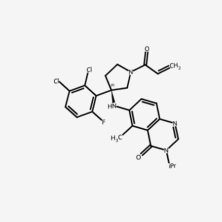 C=CC(=O)N1CC[C@@](Nc2ccc3ncn(C(C)C)c(=O)c3c2C)(c2c(F)ccc(Cl)c2Cl)C1